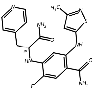 Cc1cc(Nc2cc(N[C@H](Cc3ccncc3)C(N)=O)c(F)cc2C(N)=O)sn1